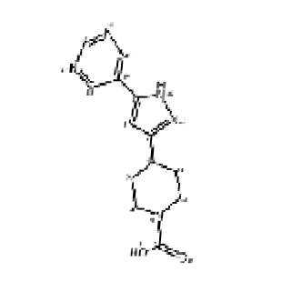 O=C(O)N1CCC(c2cc(-c3cncnc3)[nH]n2)CC1